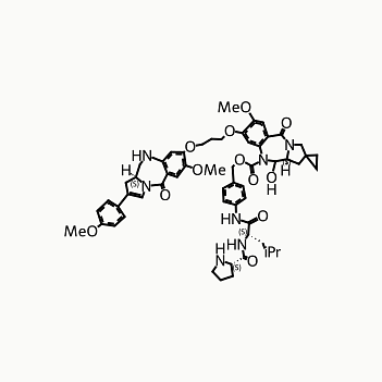 COc1ccc(C2=CN3C(=O)c4cc(OC)c(OCCCOc5cc6c(cc5OC)C(=O)N5CC7(CC7)C[C@H]5C(O)N6C(=O)OCc5ccc(NC(=O)[C@H](CC(C)C)NC(=O)[C@@H]6CCCN6)cc5)cc4NC[C@@H]3C2)cc1